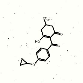 CCOC(=O)C1CC(=O)C(C(=O)c2ccc(OC3CC3)cc2)=C(O)C1